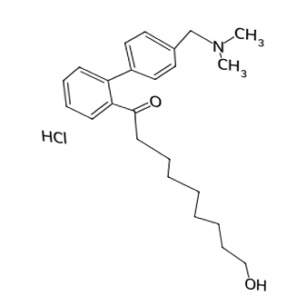 CN(C)Cc1ccc(-c2ccccc2C(=O)CCCCCCCCO)cc1.Cl